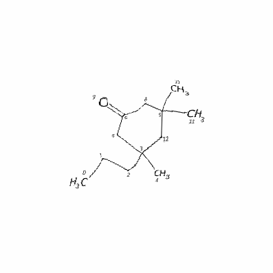 CCCC1(C)CC(=O)CC(C)(C)C1